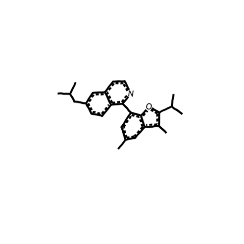 Cc1cc(-c2nccc3cc(CC(C)C)ccc23)c2oc(C(C)C)c(C)c2c1